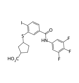 O=C(Nc1cc(F)c(F)c(F)c1)c1ccc(I)c(SC2CCC(C(=O)O)C2)c1